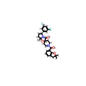 CC1(C)Cc2cccc(C(=O)N3CCC4(CC3)O[C@@H]3CC[C@@H](c5cc(F)cc(F)c5)N3C4=O)c2O1